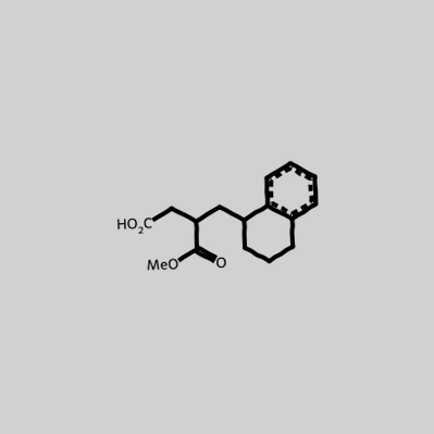 COC(=O)C(CC(=O)O)CC1CCCc2ccccc21